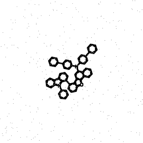 c1ccc(-c2ccc(N(c3ccc(-c4ccccc4)cc3)c3cc4c(oc5cccc(-c6cccc7c8ccccc8n(-c8ccccc8)c67)c54)c4ccccc34)cc2)cc1